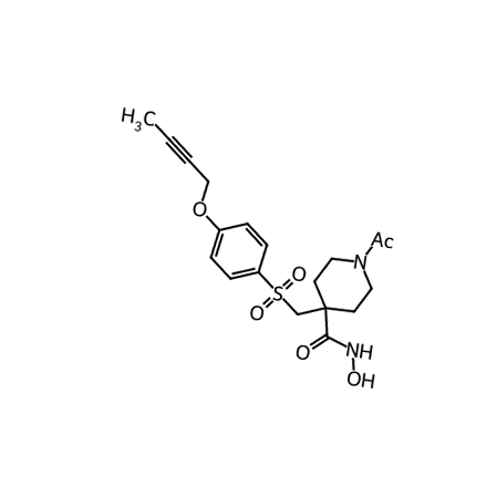 CC#CCOc1ccc(S(=O)(=O)CC2(C(=O)NO)CCN(C(C)=O)CC2)cc1